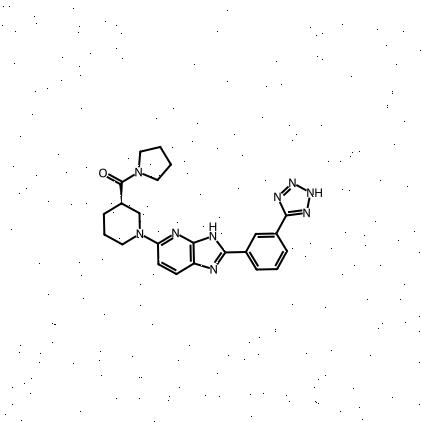 O=C([C@@H]1CCCN(c2ccc3nc(-c4cccc(-c5nn[nH]n5)c4)[nH]c3n2)C1)N1CCCC1